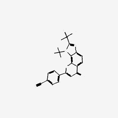 N#Cc1ccc(-c2cc(=O)c3ccc4nc(C(F)(F)F)n(C(F)(F)Br)c4c3o2)cc1